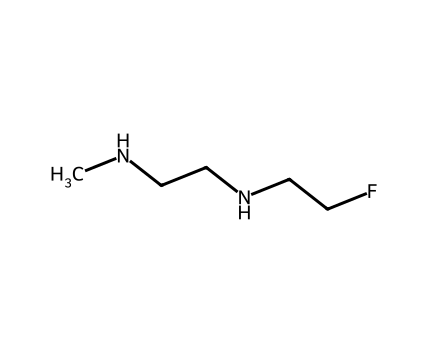 CNCCNCCF